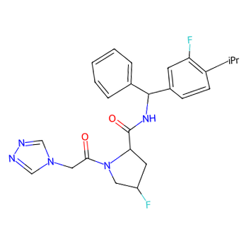 CC(C)c1ccc(C(NC(=O)C2CC(F)CN2C(=O)Cn2cnnc2)c2ccccc2)cc1F